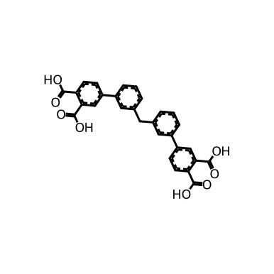 O=C(O)c1ccc(-c2cccc(Cc3cccc(-c4ccc(C(=O)O)c(C(=O)O)c4)c3)c2)cc1C(=O)O